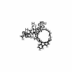 C=C[C@@H]1C[C@]1(NC(=O)[C@@H]1C[C@@H]2C[C@H]1C(=O)N(NC(=O)OC(C)(C)C)CCCC/C=C/COc1ccc3c(c1)/C(=N\O2)c1ccccc1-3)C(=O)NS(=O)(=O)C1CC1